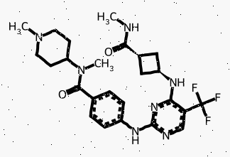 CNC(=O)[C@H]1C[C@@H](Nc2nc(Nc3ccc(C(=O)N(C)C4CCN(C)CC4)cc3)ncc2C(F)(F)F)C1